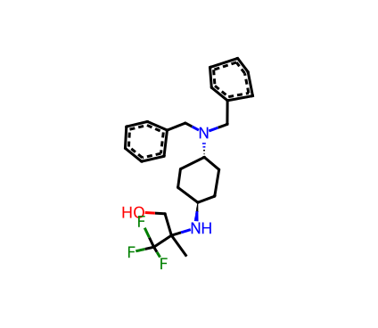 CC(CO)(N[C@H]1CC[C@H](N(Cc2ccccc2)Cc2ccccc2)CC1)C(F)(F)F